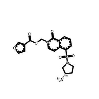 N[C@H]1CCN(S(=O)(=O)c2cccc3c(=O)n(COC(=O)c4ccoc4)ccc23)C1